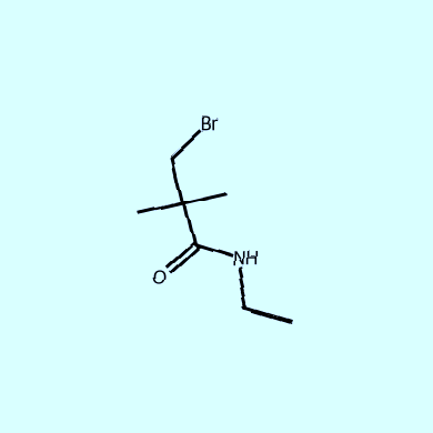 CCNC(=O)C(C)(C)CBr